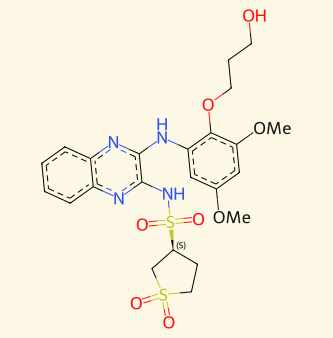 COc1cc(Nc2nc3ccccc3nc2NS(=O)(=O)[C@H]2CCS(=O)(=O)C2)c(OCCCO)c(OC)c1